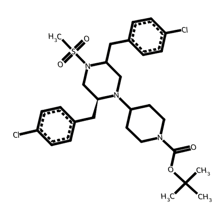 CC(C)(C)OC(=O)N1CCC(N2CC(Cc3ccc(Cl)cc3)N(S(C)(=O)=O)C[C@@H]2Cc2ccc(Cl)cc2)CC1